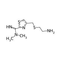 CN(C)C(=N)c1nc(CSCCN)cs1